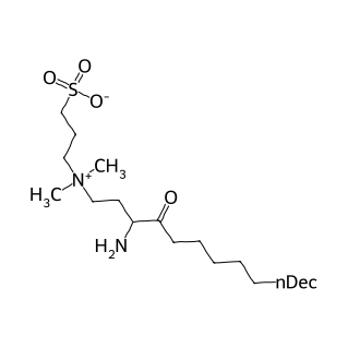 CCCCCCCCCCCCCCCC(=O)C(N)CC[N+](C)(C)CCCS(=O)(=O)[O-]